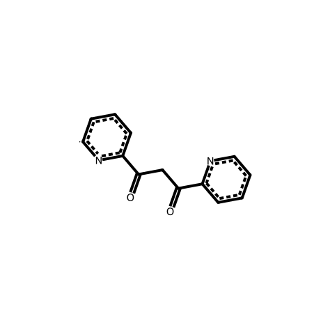 O=C(CC(=O)c1ccccn1)c1ccc[c]n1